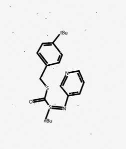 CCCCS(=Nc1cccnc1)C(=O)SCc1ccc(C(C)(C)C)cc1